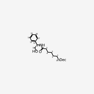 CCCCCCCCCCCCCCCC(=O)N[C@@H](CO)c1ccccc1